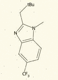 Cn1c(CC(C)(C)C)nc2cc(C(F)(F)F)ccc21